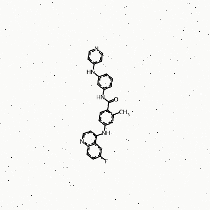 Cc1cc(Nc2ccnc3ccc(F)cc23)ccc1C(=O)Nc1cccc(Nc2ccncc2)c1